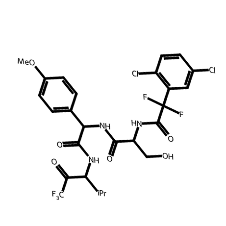 COc1ccc(C(NC(=O)C(CO)NC(=O)C(F)(F)c2cc(Cl)ccc2Cl)C(=O)NC(C(=O)C(F)(F)F)C(C)C)cc1